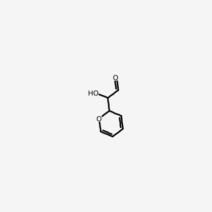 O=CC(O)C1C=CC=CO1